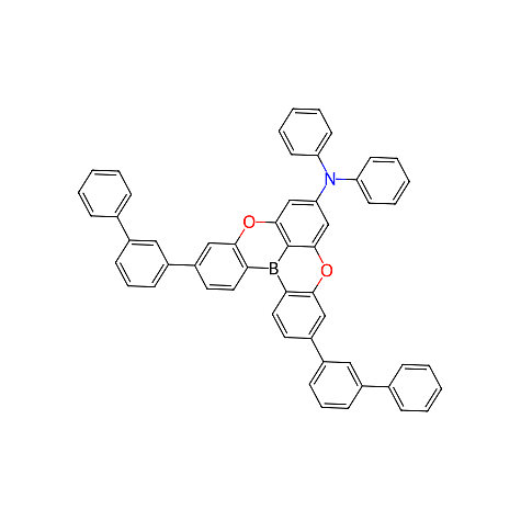 c1ccc(-c2cccc(-c3ccc4c(c3)Oc3cc(N(c5ccccc5)c5ccccc5)cc5c3B4c3ccc(-c4cccc(-c6ccccc6)c4)cc3O5)c2)cc1